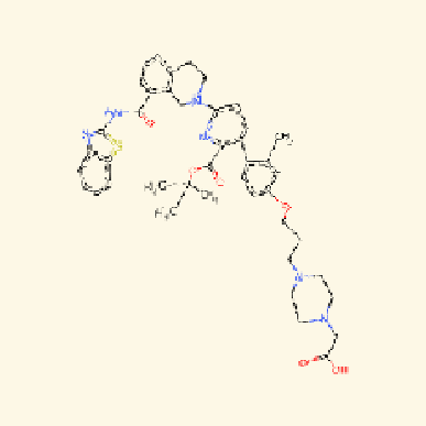 Cc1cc(OCCCN2CCN(CC(=O)O)CC2)ccc1-c1ccc(N2CCc3cccc(C(=O)Nc4nc5ccccc5s4)c3C2)nc1C(=O)OC(C)(C)C